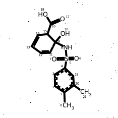 Cc1ccc(S(=O)(=O)NC2(O)C=CC=CC2C(=O)O)cc1C